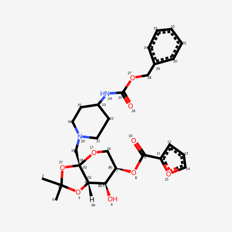 CC1(C)O[C@H]2[C@H](O)[C@H](OC(=O)c3ccco3)CO[C@@]2(CN2CCC(NC(=O)OCc3ccccc3)CC2)O1